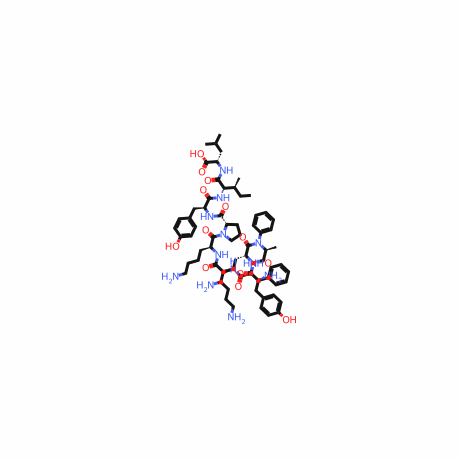 CC[C@H](C)[C@H](NC(=O)[C@H](Cc1ccc(O)cc1)NC(=O)[C@@H]1CCCN1C(=O)[C@H](CCCCN)NC(=O)[C@H](CCCCN)NC(=O)[C@H](Cc1ccccc1)NC(=O)[C@H](C)N(C(=O)[C@@H](CCCCN)NC(=O)[C@@H](N)Cc1ccc(O)cc1)c1ccccc1)C(=O)N[C@@H](CC(C)C)C(=O)O